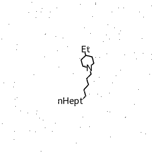 [CH2]CC1CCN(CCCCCCCCCCCC)CC1